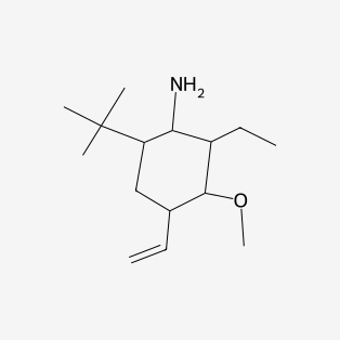 C=CC1CC(C(C)(C)C)C(N)C(CC)C1OC